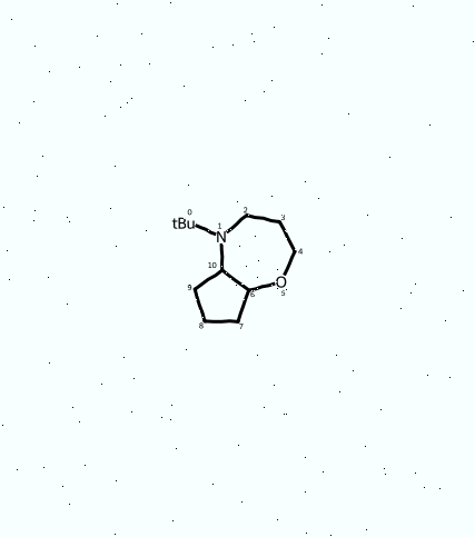 CC(C)(C)N1CCCOC2CCCC21